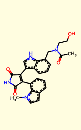 CC(=O)N(CCO)Cc1cccc2c(C3=C(c4cccc5ccn(C)c45)C(=O)NC3=O)c[nH]c12